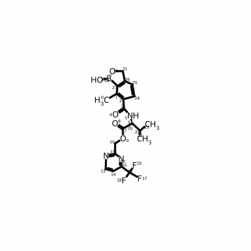 Cc1c(C(=O)N[C@H](C(=O)OCc2nccc(C(F)(F)F)n2)C(C)C)ccc2c1B(O)OC2